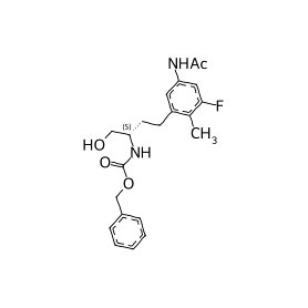 CC(=O)Nc1cc(F)c(C)c(CC[C@@H](CO)NC(=O)OCc2ccccc2)c1